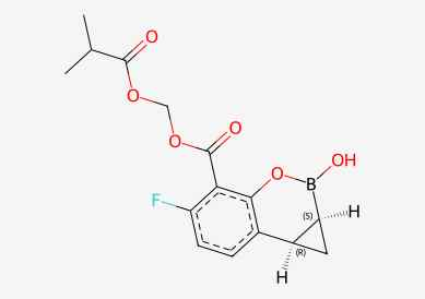 CC(C)C(=O)OCOC(=O)c1c(F)ccc2c1OB(O)[C@H]1C[C@@H]21